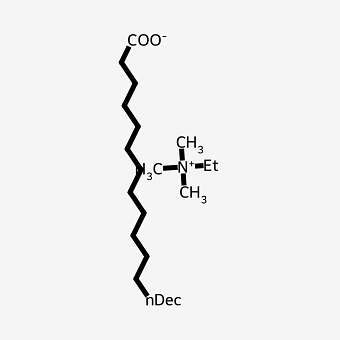 CCCCCCCCCCCCCCCCCCCCCC(=O)[O-].CC[N+](C)(C)C